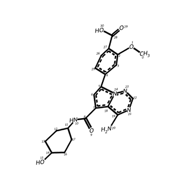 COc1cc(-c2cc(C(=O)NC3CCC(O)CC3)c3c(N)ncnn23)ccc1C(=O)O